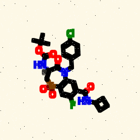 CC(C)(C)OC(=O)N[C@H]1CS(=O)(=O)c2cc(F)c(C(=O)NC3CCC3)cc2N(Cc2ccc(Cl)cc2)C1=O